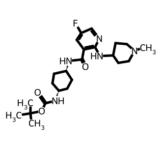 CN1CCC(Nc2ncc(F)cc2C(=O)N[C@H]2CC[C@@H](NC(=O)OC(C)(C)C)CC2)CC1